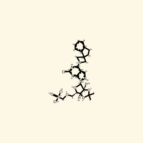 CC1(C)O[C@@H]2[C@H](O1)[C@@H](COCP(=O)(Cl)Cl)O[C@H]2n1ncc2c(N3CC4(CCc5ccccc54)C3)nc(Cl)nc21